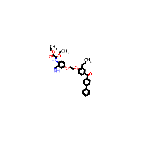 CCCc1cc(C(=O)c2ccc(-c3ccccc3)cc2)ccc1OCCOc1ccc(NC(OCC)C(=O)OCC)c(C=N)c1